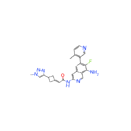 Cc1ccncc1-c1cc2cc(NC(=O)C=C3CC(c4cn(C)nn4)C3)ncc2c(N)c1F